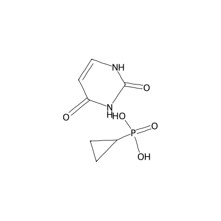 O=P(O)(O)C1CC1.O=c1cc[nH]c(=O)[nH]1